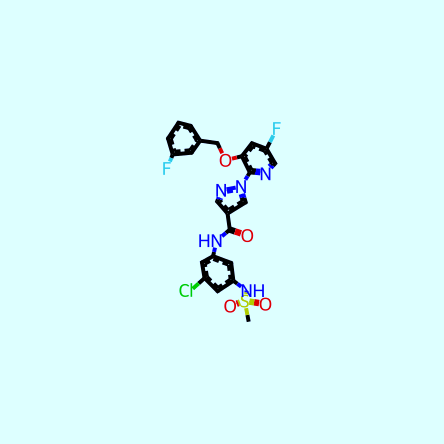 CS(=O)(=O)Nc1cc(Cl)cc(NC(=O)c2cnn(-c3ncc(F)cc3OCc3cccc(F)c3)c2)c1